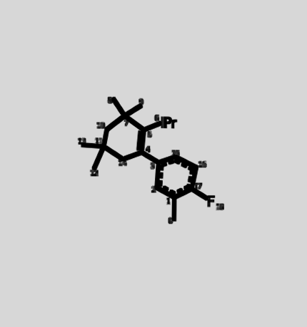 Cc1cc(C2=C(C(C)C)C(C)(C)CC(C)(C)C2)ccc1F